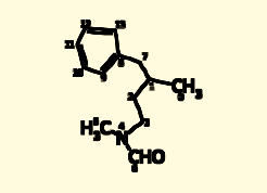 CC(CCN(C)C=O)Cc1ccccc1